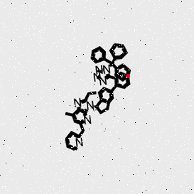 CCc1nc2c(C)cc(Cc3ccccn3)nc2n1[C@H]1CCc2cc(-c3ccccc3-c3nnnn3C(c3ccccc3)(c3ccccc3)c3ccccc3)ccc21